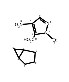 C1CC2CC2C1.CCn1ncc([N+](=O)[O-])c1C(=O)O